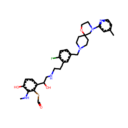 CNc1c(O)ccc(C(O)CNCCc2cc(CN3CCC4(CC3)CN(c3cc(C)ccn3)CCO4)ccc2F)c1SC=O